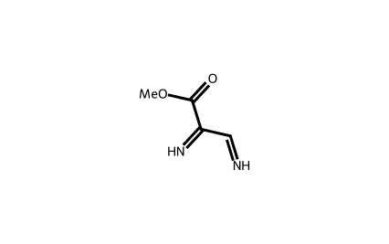 COC(=O)C(=N)C=N